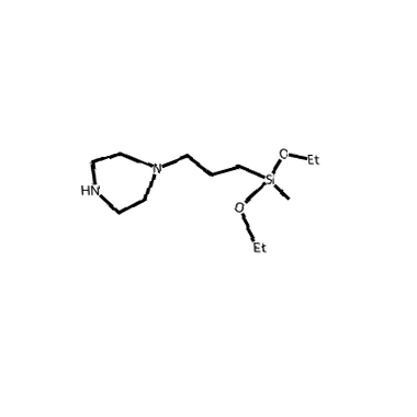 CCO[Si](C)(CCCN1CCNCC1)OCC